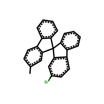 Cc1ccc2c(c1)C1(c3ccccc3-2)c2ccccc2-c2ccc(Br)cc21